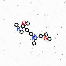 c1ccc(-c2cc(-c3ccc(-c4cccc5c4oc4ccccc45)cc3)nc(-c3ccc(-c4ccc(-c5c6c(cc7c(-c8ccccc8)nc8ccccc8c57)oc5ccccc56)cc4)cc3)n2)cc1